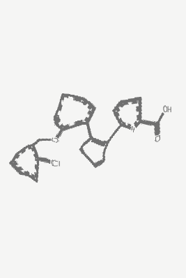 O=C(O)c1cccc(C2=C(c3ccccc3OCc3ccccc3Cl)CCC2)n1